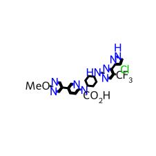 COc1ncc(-c2ccc(N(C(=O)O)[C@H]3CC[C@H](Nc4ncc(C(F)(F)F)c(-c5n[nH]cc5Cl)n4)CC3)nc2)cn1